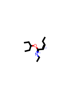 CC/C=C\C(=N/CC)OC(CC)CC